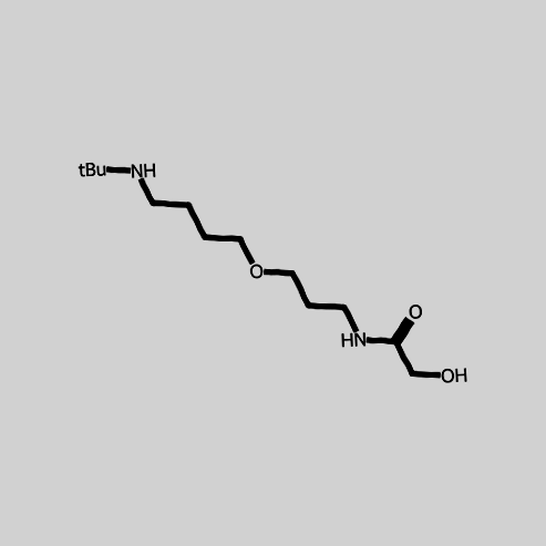 CC(C)(C)NCCCCOCCCNC(=O)CO